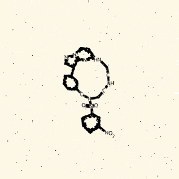 O=[N+]([O-])c1cccc(S(=O)(=O)N2CCNCCNc3ccn4ncc(c4n3)-c3cccc(c3)C2)c1